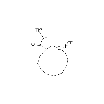 O=C([NH][Ti+2])C1CCCCCCCCCCC1.[Cl-].[Cl-]